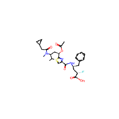 CC(=O)O[C@H](CC(C(C)C)N(C)C(=O)CC1CC1)c1nc(C(=O)N[C@@H](Cc2ccccc2)C[C@H](F)C(=O)O)cs1